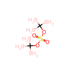 BC(B)(B)OS(=O)(=O)OC(B)(B)B